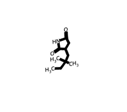 CCC(C)(C)CC1CC(=O)NC1=O